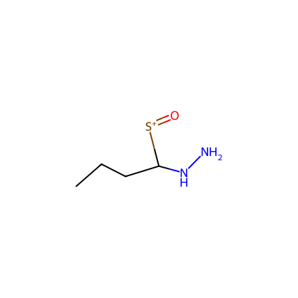 CCCC(NN)[S+]=O